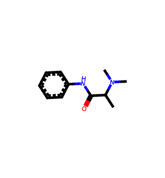 CC(C(=O)Nc1ccccc1)N(C)C